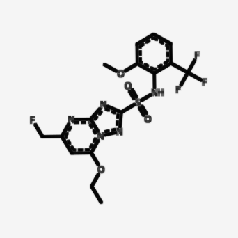 CCOc1cc(CF)nc2nc(S(=O)(=O)Nc3c(OC)cccc3C(F)(F)F)nn12